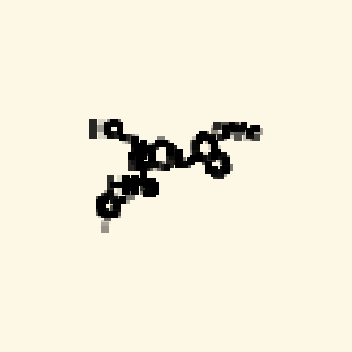 COc1ccc(CN2CCc3c(c(C(=O)NCc4cccc(C)c4)nn3CCO)C2)c2ccccc12